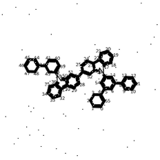 C1=CCCC(c2cc(-c3ccccc3)cc(N3c4ccccc4C4C=CC(c5ccc6c7ccccc7n(C7=CC=CC(C8=CC=CCC8)C7)c6c5)=CC43)c2)=C1